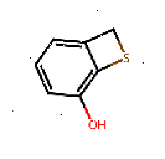 Oc1cccc2c1SC2